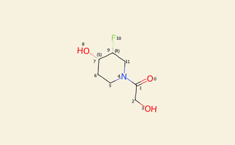 O=C(CO)N1CC[C@H](O)[C@H](F)C1